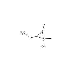 CC1C(CC(F)(F)F)[Si]1(C)O